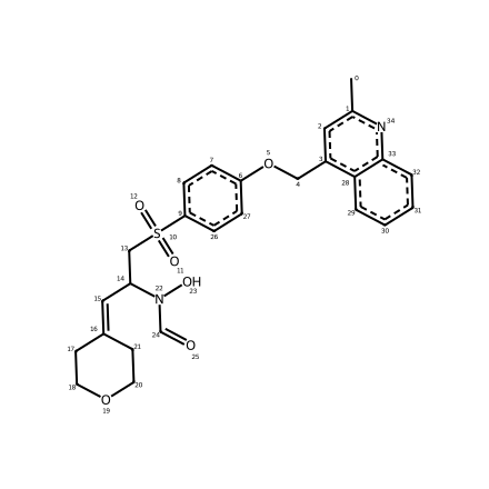 Cc1cc(COc2ccc(S(=O)(=O)CC(C=C3CCOCC3)N(O)C=O)cc2)c2ccccc2n1